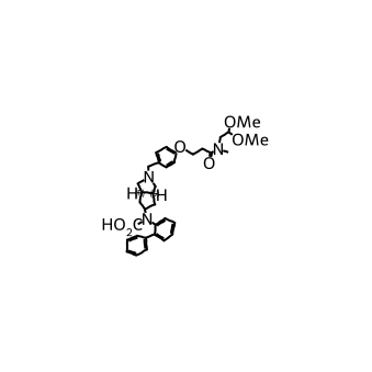 COC(CN(C)C(=O)CCOc1ccc(CN2C[C@H]3CC(N(C(=O)O)c4ccccc4-c4ccccc4)C[C@H]3C2)cc1)OC